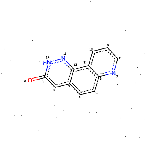 O=c1cc2ccc3ncccc3c2n[nH]1